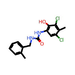 Cc1ccccc1CNC(=O)Nc1cc(Cl)c(C)c(Cl)c1O